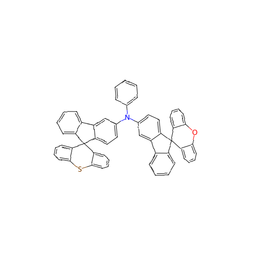 c1ccc(N(c2ccc3c(c2)-c2ccccc2C32c3ccccc3Oc3ccccc32)c2ccc3c(c2)-c2ccccc2C32c3ccccc3Sc3ccccc32)cc1